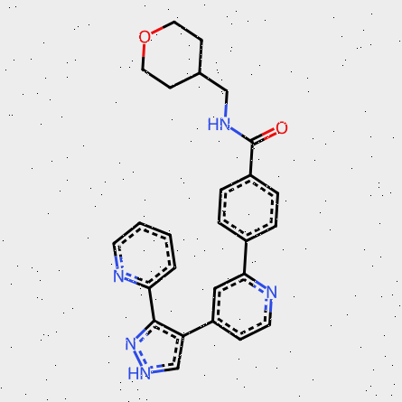 O=C(NCC1CCOCC1)c1ccc(-c2cc(-c3c[nH]nc3-c3ccccn3)ccn2)cc1